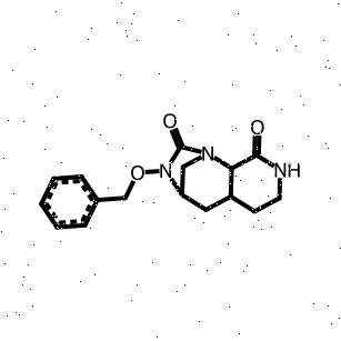 O=C1NCCC2CC3CN(C(=O)N3OCc3ccccc3)C12